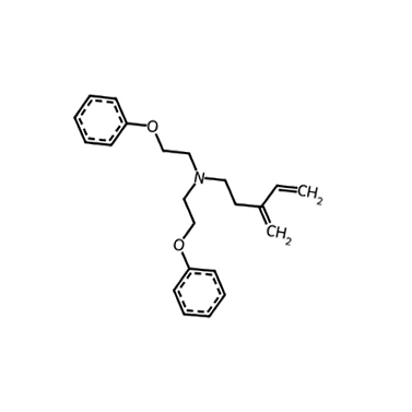 C=CC(=C)CCN(CCOc1ccccc1)CCOc1ccccc1